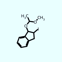 COC(C)OC1c2ccccc2CC1I